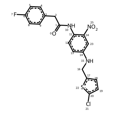 O=C(Cc1ccc(F)cc1)Nc1ccc(NCc2ccc(Cl)s2)cc1[N+](=O)[O-]